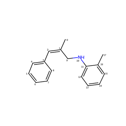 CC(=Cc1ccccc1)CNc1ccccc1C